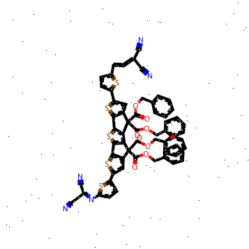 N#CC(=C=Cc1ccc(-c2cc3c(s2)-c2sc4c(c2C3(C(=O)OCc2ccccc2)C(=O)OCc2ccccc2)C(C(=O)OCc2ccccc2)(C(=O)OCc2ccccc2)c2cc(-c3ccc(N=C(C#N)C#N)s3)sc2-4)s1)C#N